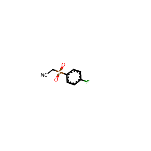 N#CCS(=O)(=O)c1ccc(F)cc1